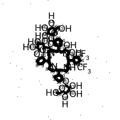 OCC1O[C@H](Oc2cccc(-c3c4nc(c(-c5cccc(O[C@H]6OC(CO)[C@@H](O)C(O)[C@H]6O)c5)c5ccc([nH]5)c(-c5cc(C(F)(F)F)cc(C(F)(F)F)c5)c5nc(c(-c6cccc(O[C@H]7OC(CO)[C@@H](O)C(O)[C@H]7O)c6)c6ccc3[nH]6)[C@@H](O)[C@H]5O)C=C4)c2)[C@H](O)C(O)[C@@H]1O